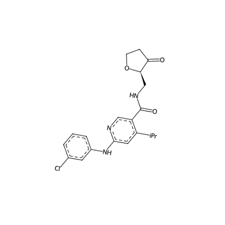 CC(C)c1cc(Nc2cccc(Cl)c2)ncc1C(=O)NC[C@H]1OCCC1=O